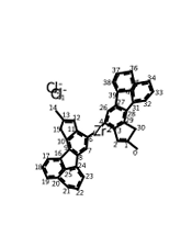 CC1=Cc2[c]([Zr+2][c]3cc4c(c5c3C=C(C)C5)-c3cccc5cccc-4c35)cc3c(c2C1)-c1cccc2cccc-3c12.[Cl-].[Cl-]